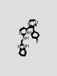 FC1=CC=C(C2=C(C3C=CN=C(NCc4nc5ccccc5[nH]4)N3)N3C=CON2C3)CC1